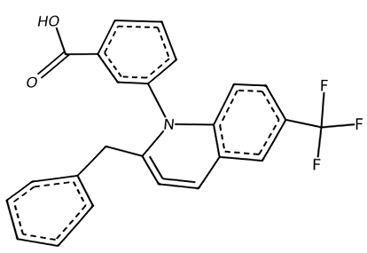 O=C(O)c1cccc(N2C(Cc3ccccc3)=C=Cc3cc(C(F)(F)F)ccc32)c1